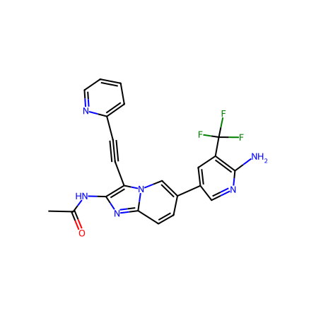 CC(=O)Nc1nc2ccc(-c3cnc(N)c(C(F)(F)F)c3)cn2c1C#Cc1ccccn1